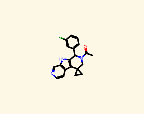 CC(=O)N1CC2(CC2)c2c([nH]c3cnccc23)C1c1cccc(F)c1